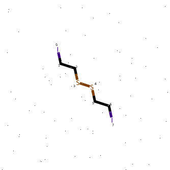 ICCSSCCI